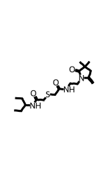 C=C1CC(C)(C)C(=O)N1CCNC(=O)CSCC(=O)NC(CC)CC